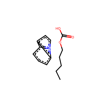 CCCCCOC(=O)O.c1cc2c3ccn2c3c1